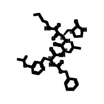 CCCCNC(=O)C(=O)[C@H](C[C@@H]1CCNC1=O)NC(=O)[C@H](CC(C)C)NC(=O)[C@H](Cc1cc(OC(C)C)ccn1)NC(=O)OCc1ccccc1